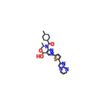 CC1CCC(C(=O)N(c2nn(-c3ccc(-c4cn5cccnc5n4)s3)cc2C(=O)O)C(C)C)CC1